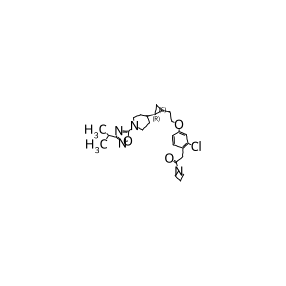 CC(C)c1noc(N2CCC([C@H]3C[C@H]3CCOc3ccc(CC(=O)N4CCC4)c(Cl)c3)CC2)n1